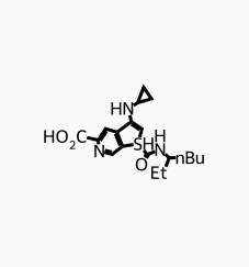 CCCCC(CC)NC(=O)[SH]1C=C(NC2CC2)c2cc(C(=O)O)ncc21